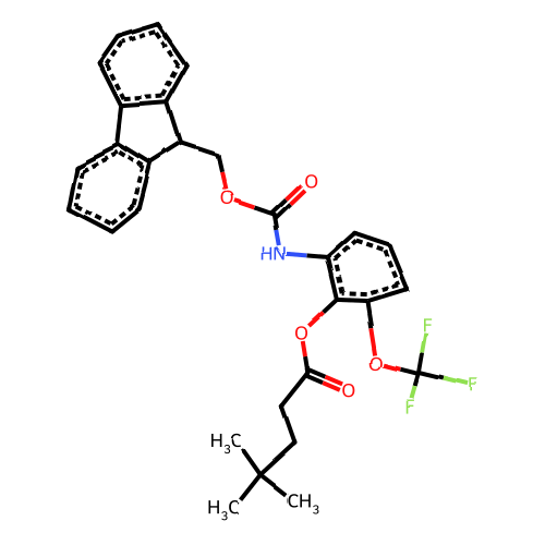 CC(C)(C)CCC(=O)Oc1c(NC(=O)OCC2c3ccccc3-c3ccccc32)cccc1OC(F)(F)F